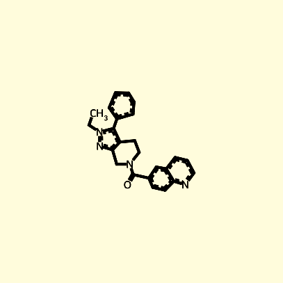 CCn1nc2c(c1-c1ccccc1)CCN(C(=O)c1ccc3ncccc3c1)C2